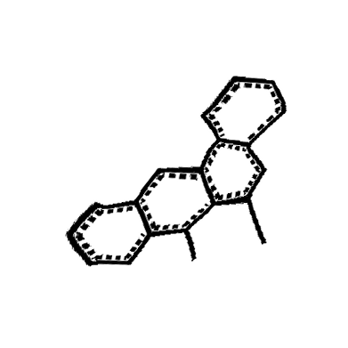 Cc1cc2ccccc2c2cc3ccccc3c(C)c12